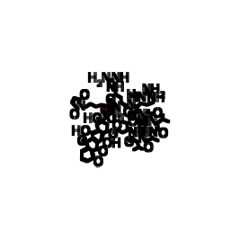 COc1cccc2c1C(=O)c1c(O)c3c(c(O)c1C2=O)CC(O)(C(=O)CO)CC3O[C@@H]1C[C@H](NC(=O)C(NC(=O)C(C)NC(=O)C(NC(=O)C(C)NC(=O)C(CCCNC(=N)N)NC(=O)C(CCCNC(=N)N)NC(=O)CCCCCN2C(=O)C=CC2=O)C(C)C)C(C)C)[C@H](O)[C@H](C)O1